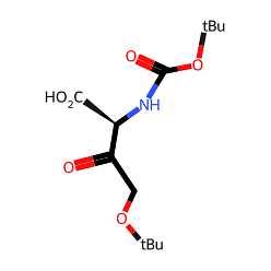 CC(C)(C)OCC(=O)[C@H](NC(=O)OC(C)(C)C)C(=O)O